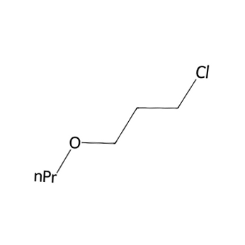 CCCOCCCCl